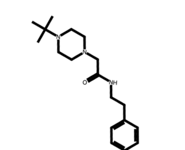 CC(C)(C)N1CCN(CC(=O)NCCc2ccccc2)CC1